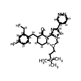 C[Si](C)(C)CCOCn1nc(-c2ccnnc2)nc1N1CCCC(Cc2ccc(F)cc2CF)C1=O